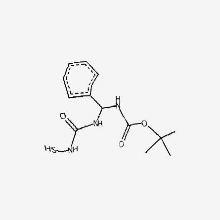 CC(C)(C)OC(=O)NC(NC(=O)NS)c1ccccc1